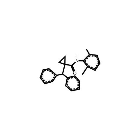 Cc1cccc(C)c1NC(=O)C1(C(c2ccccc2)c2ccccc2)CC1